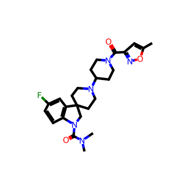 Cc1cc(C(=O)N2CCC(N3CCC4(CC3)CN(C(=O)N(C)C)c3ccc(F)cc34)CC2)no1